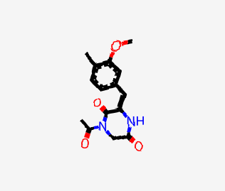 COc1cc(/C=C2/NC(=O)CN(C(C)=O)C2=O)ccc1C